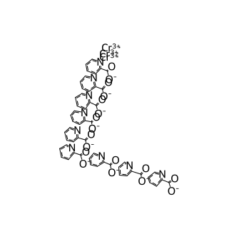 O=C([O-])c1ccccn1.O=C([O-])c1ccccn1.O=C([O-])c1ccccn1.O=C([O-])c1ccccn1.O=C([O-])c1ccccn1.O=C([O-])c1ccccn1.O=C([O-])c1ccccn1.O=C([O-])c1ccccn1.O=C([O-])c1ccccn1.[Cr+3].[Cr+3].[Cr+3]